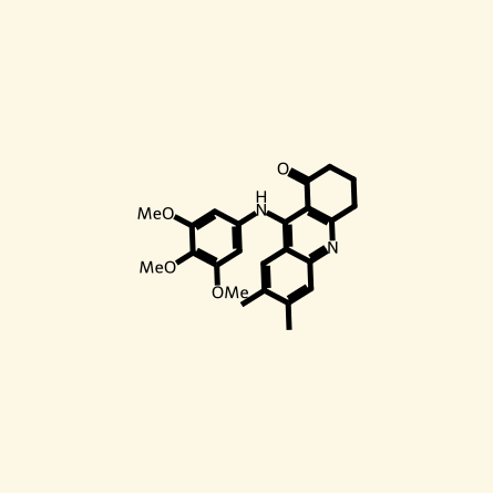 COc1cc(Nc2c3c(nc4cc(C)c(C)cc24)CCCC3=O)cc(OC)c1OC